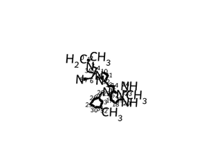 C=C(C)N1CC(CC#N)(n2ccc(-c3cc4c(ccc(=N)n4C(C)=N)n3Cc3cccc(C)c3)n2)C1